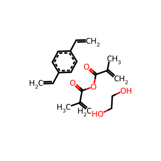 C=C(C)C(=O)OC(=O)C(=C)C.C=Cc1ccc(C=C)cc1.OCCO